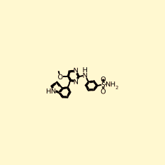 COc1cnc(Nc2cccc(S(N)(=O)=O)c2)nc1-c1cccc2[nH]ccc12